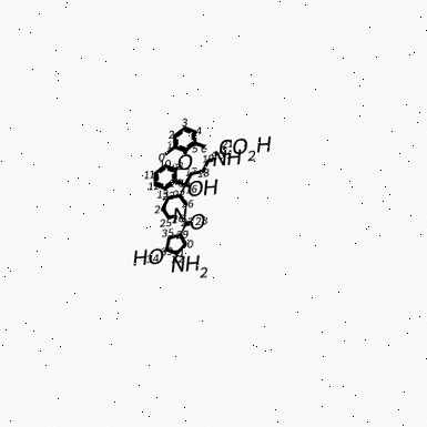 Cc1cccc(C)c1Oc1ccccc1C(O)(CCCNC(=O)O)[C@@H]1CCCN(C(=O)[C@H]2C[C@@H](N)[C@@H](O)C2)C1